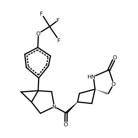 O=C1N[C@]2(CO1)C[C@H](C(=O)N1CC3CC3(c3ccc(OC(F)(F)F)cc3)C1)C2